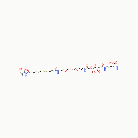 CNC(CCCCNC(=O)CCC(C(=O)O)C(=O)COCC(=O)NCCCOCCOCCOCCCNC(=O)CCCCCSCCCCCCCC(=O)NC(C(=O)O)C(C)C)C(=O)O